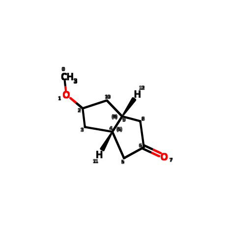 COC1C[C@H]2CC(=O)C[C@H]2C1